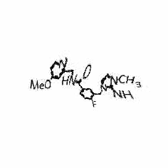 COc1ccnc(CNC(=O)c2ccc(F)c(Cn3ccn(C)c3=N)c2)c1